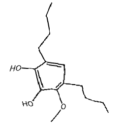 CCCCc1cc(CCCC)c(OC)c(O)c1O